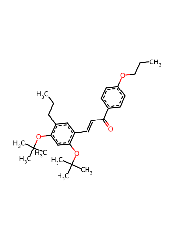 CCCOc1ccc(C(=O)C=Cc2cc(CCC)c(OC(C)(C)C)cc2OC(C)(C)C)cc1